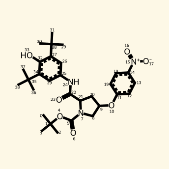 CC(C)(C)OC(=O)N1CC(Oc2ccc([N+](=O)[O-])cc2)CC1C(=O)Nc1cc(C(C)(C)C)c(O)c(C(C)(C)C)c1